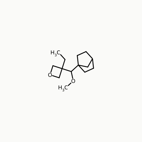 CCC1(C(OC)C23CCC(CC2)C3)COC1